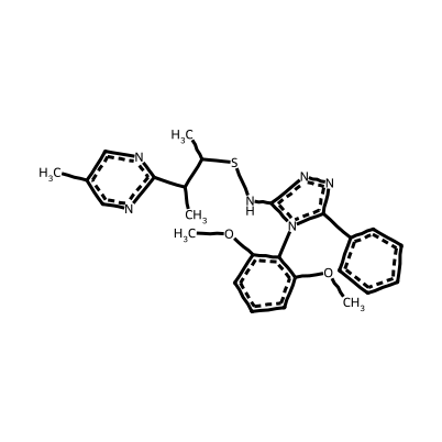 COc1cccc(OC)c1-n1c(NSC(C)C(C)c2ncc(C)cn2)nnc1-c1ccccc1